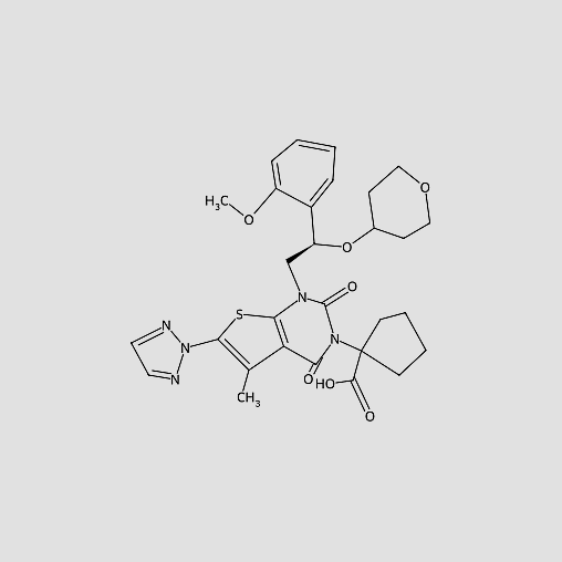 COc1ccccc1[C@H](Cn1c(=O)n(C2(C(=O)O)CCCC2)c(=O)c2c(C)c(-n3nccn3)sc21)OC1CCOCC1